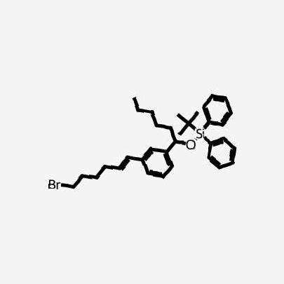 CCCCCC(O[Si](c1ccccc1)(c1ccccc1)C(C)(C)C)c1cccc(C=CCCCCBr)c1